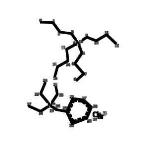 CCCC[N+](CCCC)(CCCC)CCCC.CC[N+](CC)(CC)Cc1ccccc1.[Br-].[Cl-]